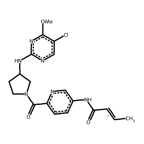 C/C=C/C(=O)Nc1ccc(C(=O)N2CCC(Nc3ncc(Cl)c(OC)n3)C2)nc1